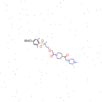 COc1cc(C)c(S(=O)(=O)N(C)CCOCC(=O)N2CCC(C(=O)CN3CCN(C)CC3)CC2)c(C)c1